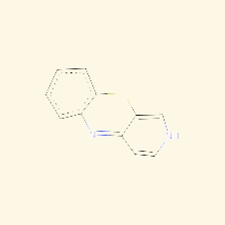 C1=CC2=Nc3ccccc3SC2=CN1